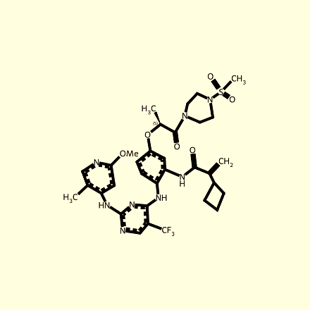 C=C(C(=O)Nc1cc(O[C@@H](C)C(=O)N2CCN(S(C)(=O)=O)CC2)ccc1Nc1nc(Nc2cc(OC)ncc2C)ncc1C(F)(F)F)C1CCC1